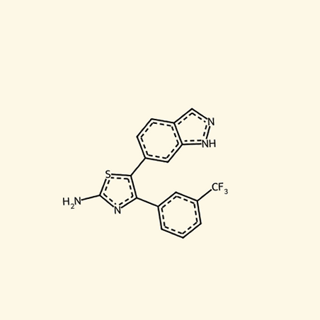 Nc1nc(-c2cccc(C(F)(F)F)c2)c(-c2ccc3cn[nH]c3c2)s1